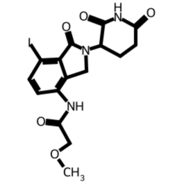 COCC(=O)Nc1ccc(I)c2c1CN(C1CCC(=O)NC1=O)C2=O